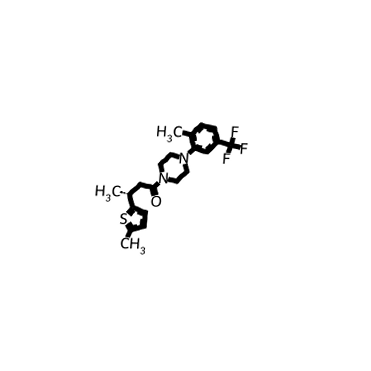 Cc1ccc([C@H](C)CC(=O)N2CCN(c3cc(C(F)(F)F)ccc3C)CC2)s1